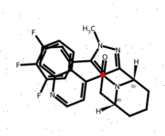 Cn1nc2c(c1-c1cc(F)c(F)c(F)c1)C[C@H]1CCC[C@@H]2N1C(=O)c1ccnc2ccccc12